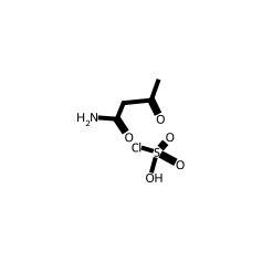 CC(=O)CC(N)=O.O=S(=O)(O)Cl